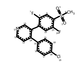 CS(=O)(=O)c1cc(F)c(-c2cnccc2-c2ccc(Cl)cc2)cc1F